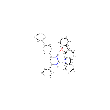 c1ccc(-c2ccc(-c3cc(-c4ccccc4)nc(-n4c5ccccc5c5ccc6c7ccccc7oc6c54)n3)cc2)cc1